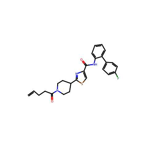 C=CCCC(=O)N1CCC(c2nc(C(=O)Nc3ccccc3-c3ccc(F)cc3)cs2)CC1